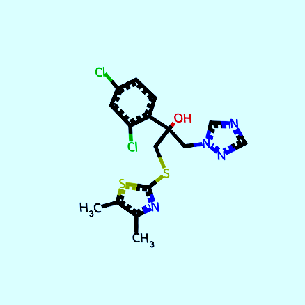 Cc1nc(SCC(O)(Cn2cncn2)c2ccc(Cl)cc2Cl)sc1C